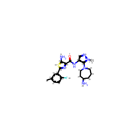 CCn1ncc(NC(=O)c2nc(-c3cc(C)ccc3F)sc2N)c1N1CCCC(N)CC1